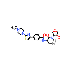 CCN(C(=O)C(CC(C)C)NC(=O)c1ccc(-c2csc(N3CCN(C)CC3)n2)cc1)C1COCC1=O